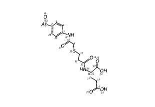 O=[As]c1ccc(NC(=O)CSCCC(=O)N[C@@H](CCC(=O)O)C(=O)O)cc1